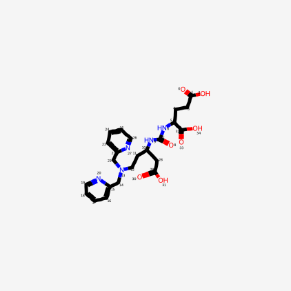 O=C(O)CCC(NC(=O)NC(CCN(Cc1ccccn1)Cc1ccccn1)CC(=O)O)C(=O)O